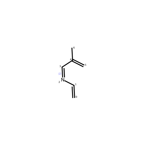 C=C/N=C\C(=C)C